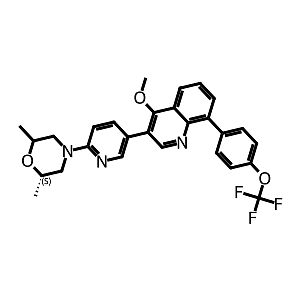 COc1c(-c2ccc(N3CC(C)O[C@@H](C)C3)nc2)cnc2c(-c3ccc(OC(F)(F)F)cc3)cccc12